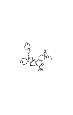 CC1(C)CC=C(c2nc(C3(NCCN4CCOCC4)CCOCC3)ccc2C(N)=O)CC1